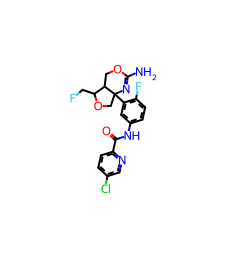 NC1=NC2(c3cc(NC(=O)c4ccc(Cl)cn4)ccc3F)COC(CF)C2CO1